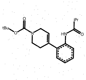 CC(C)C(=O)Nc1ccccc1C1=CCN(C(=O)OC(C)(C)C)CC1